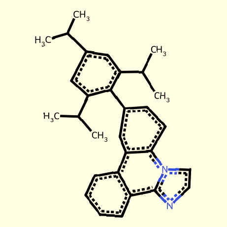 CC(C)c1cc(C(C)C)c(-c2ccc3c(c2)c2ccccc2c2nccn32)c(C(C)C)c1